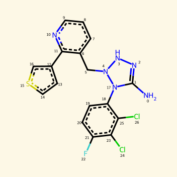 NC1=NNN(Cc2cccnc2-c2ccsc2)N1c1ccc(F)c(Cl)c1Cl